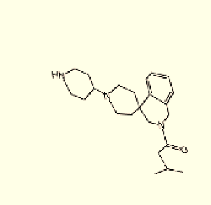 CC(C)CC(=O)N1Cc2ccccc2C2(CCN(C3CCNCC3)CC2)C1